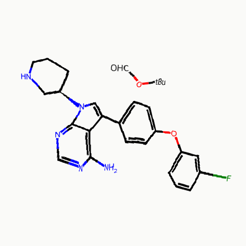 CC(C)(C)OC=O.Nc1ncnc2c1c(-c1ccc(Oc3cccc(F)c3)cc1)cn2[C@@H]1CCCNC1